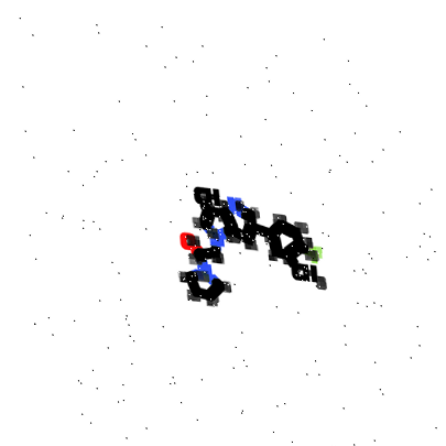 Cc1cc(-c2cnc3c(C)cn(CC(=O)N4CCCC4)c3c2)ccc1F